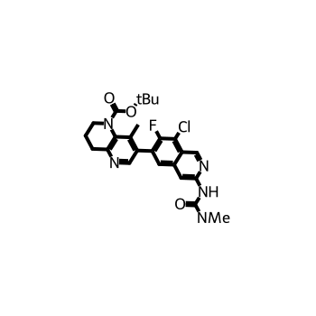 CNC(=O)Nc1cc2cc(-c3cnc4c(c3C)N(C(=O)OC(C)(C)C)CCC4)c(F)c(Cl)c2cn1